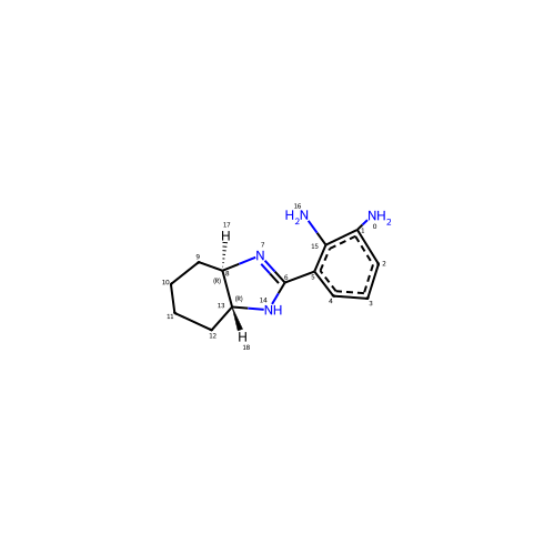 Nc1cccc(C2=N[C@@H]3CCCC[C@H]3N2)c1N